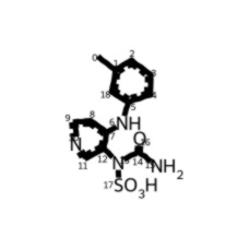 Cc1cccc(Nc2ccncc2N(C(N)=O)S(=O)(=O)O)c1